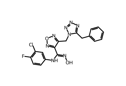 O/N=C(\Nc1ccc(F)c(Cl)c1)c1nonc1Cn1nnnc1Cc1ccccc1